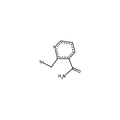 [2H]Cc1ncccc1C(N)=O